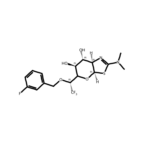 CN(C)C1=N[C@@H]2[C@@H](O)[C@H](O)C([C@@H](OCc3cccc(F)c3)C(F)(F)F)O[C@@H]2S1